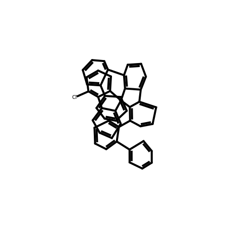 Clc1cccc2c1-c1ccccc1C21c2c(-c3ccccc3-c3ccccc3)cccc2-c2cccc(-c3ccccc3-c3ccccc3)c21